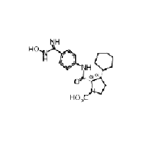 N=C(NO)c1ccc(NC(=O)[C@@H]2[C@H](C3CCCCC3)CCN2C(=O)O)cc1